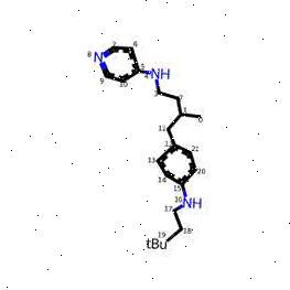 CC(CCNc1ccncc1)Cc1ccc(NCCC(C)(C)C)cc1